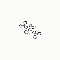 Clc1ccccc1-c1cc(-c2ccc3c(c2)c2ccccc2n3-c2ccccc2)c(-c2ccccc2Cl)cc1-c1ccc2c(c1)c1ccccc1n2-c1ccccc1